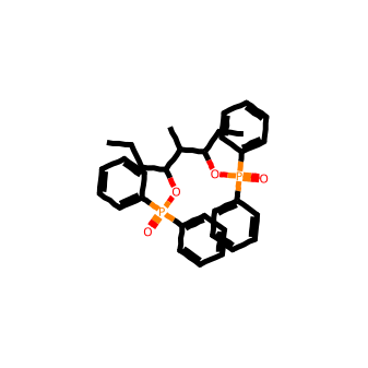 CCCC(OP(=O)(c1ccccc1)c1ccccc1)C(C)C(CC)OP(=O)(c1ccccc1)c1ccccc1